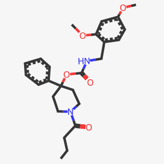 CCCC(=O)N1CCC(OC(=O)NCc2ccc(OC)cc2OC)(c2ccccc2)CC1